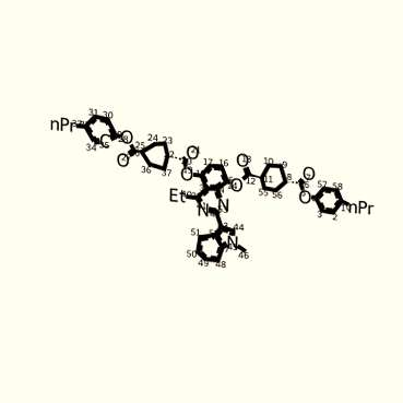 CCCc1ccc(OC(=O)[C@H]2CC[C@H](C(=O)Oc3ccc(OC(=O)[C@H]4CC[C@H](C(=O)Oc5ccc(CCC)cc5)CC4)c4c(CC)nc(-c5cn(C)c6ccccc56)nc34)CC2)cc1